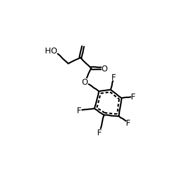 C=C(CO)C(=O)Oc1c(F)c(F)c(F)c(F)c1F